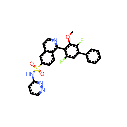 COc1c(F)c(-c2ccccc2)cc(F)c1-c1nccc2cc(S(=O)(=O)Nc3cccnn3)ccc12